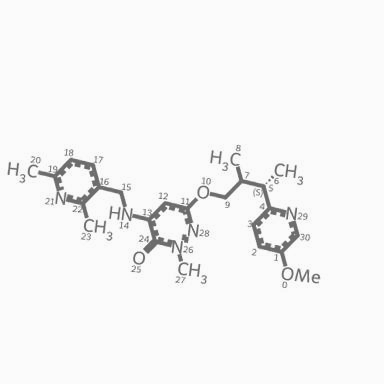 COc1ccc([C@@H](C)C(C)COc2cc(NCc3ccc(C)nc3C)c(=O)n(C)n2)nc1